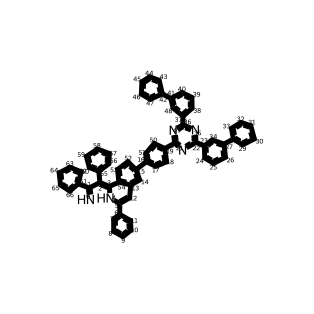 N=C(/C(=C1\NC(c2ccccc2)=Cc2cc(-c3ccc(-c4nc(-c5cccc(-c6ccccc6)c5)nc(-c5cccc(-c6ccccc6)c5)n4)cc3)ccc21)c1ccccc1)c1ccccc1